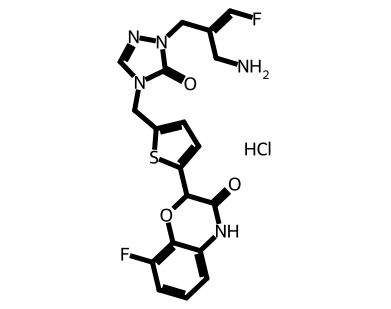 Cl.NC/C(=C\F)Cn1ncn(Cc2ccc(C3Oc4c(F)cccc4NC3=O)s2)c1=O